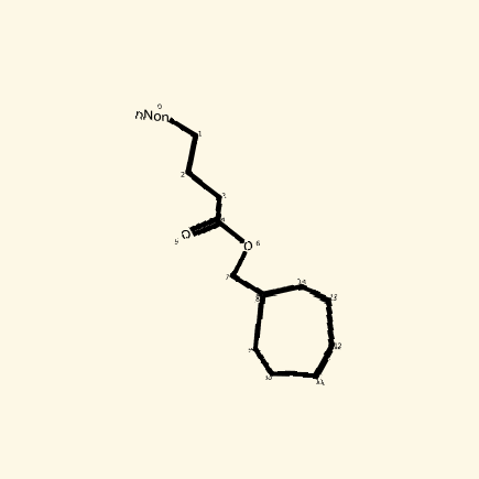 [CH2]CCCCCCCCCCCC(=O)OCC1CCCCCC1